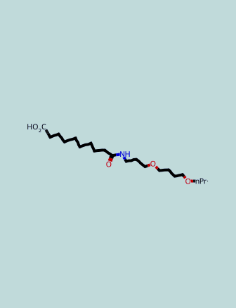 CC[CH]OCCCCOCCCNC(=O)CCCCCCCCC(=O)O